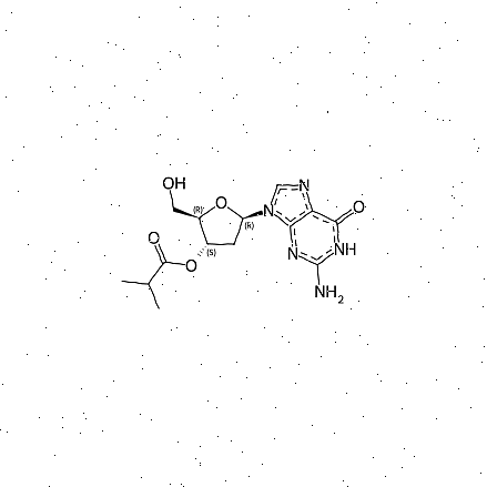 CC(C)C(=O)O[C@H]1C[C@H](n2cnc3c(=O)[nH]c(N)nc32)O[C@@H]1CO